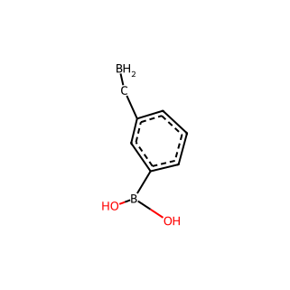 BCc1cccc(B(O)O)c1